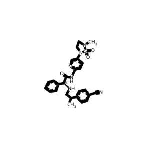 CC(CN[C@H](C(=O)Nc1ccc(N2CCN(C)S2(=O)=O)cn1)c1ccccc1)c1ccc(C#N)cc1